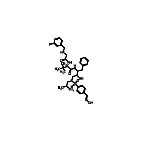 CC(C)CN(C[C@H](O)[C@H](Cc1ccccc1)NC(=O)[C@@H](NC(=O)CNCc1cccc(F)c1)C(C)(C)C)S(=O)(=O)c1ccc(C=NO)cc1